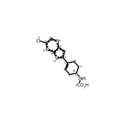 O=C(O)N[C@H]1CC=C(c2cc3ncc(Cl)nc3s2)CC1